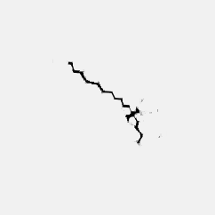 CCCCCCCCCCCCC(CCCCC)(C(=O)O)C(=O)O.[LiH]